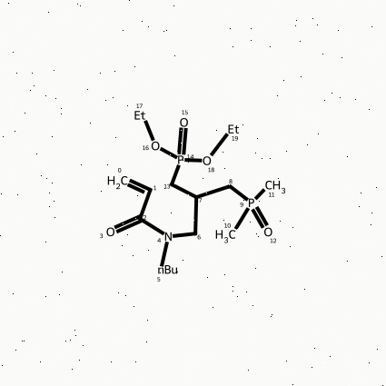 C=CC(=O)N(CCCC)CC(CP(C)(C)=O)CP(=O)(OCC)OCC